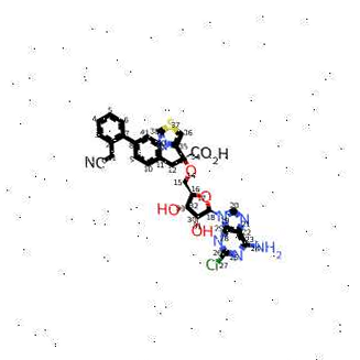 N#CCc1ccccc1-c1ccc(C[C@@](OC[C@H]2O[C@@H](n3cnc4c(N)nc(Cl)nc43)[C@H](O)[C@@H]2O)(C(=O)O)c2cscn2)cc1